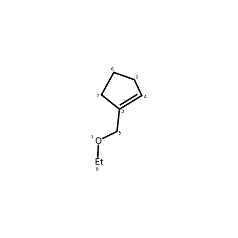 CCO[CH]C1=CCCC1